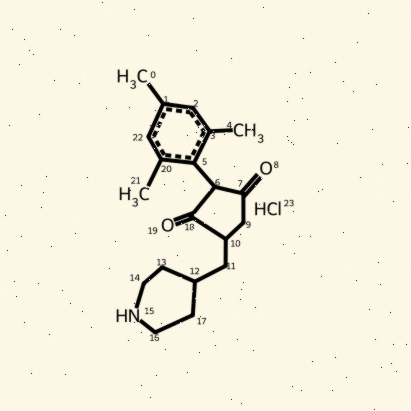 Cc1cc(C)c(C2C(=O)CC(CC3CCNCC3)C2=O)c(C)c1.Cl